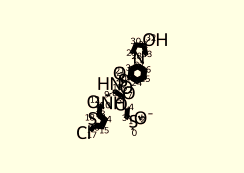 C[S@+]([O-])CCOC(=O)[C@H](CNC(=O)c1ccc(Cl)s1)NS(=O)(=O)c1cccc(N2CC[C@H](O)C2)c1